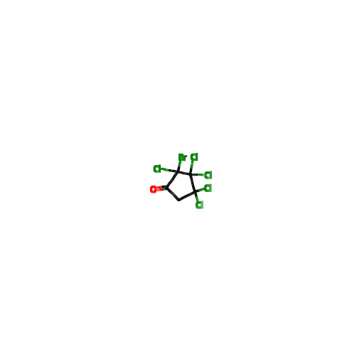 O=C1CC(Cl)(Cl)C(Cl)(Cl)C1(Cl)Br